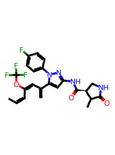 C=C(/C=C(\C=C/C)OC(F)(F)F)c1cc(NC(=O)[C@H]2CNC(=O)C2C)nn1-c1ccc(F)cc1